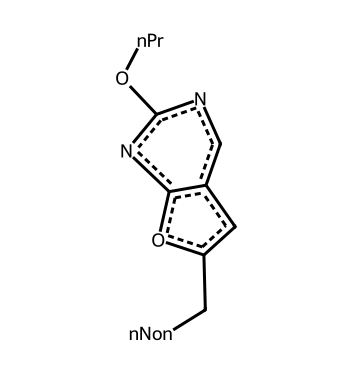 CCCCCCCCCCc1cc2cnc(OCCC)nc2o1